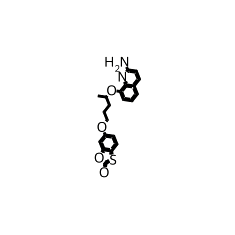 CC(CCCOc1ccc2sc(=O)oc2c1)Oc1cccc2ccc(N)nc12